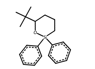 CC(C)(C)C1CCC[Si](c2ccccc2)(c2ccccc2)O1